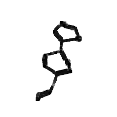 O=Cc1ccc(-c2cnco2)nc1